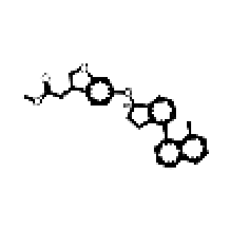 COC(=O)CC1COc2cc(O[C@@H]3CCc4c(-c5cccc6cccc(C)c56)cccc43)ccc21